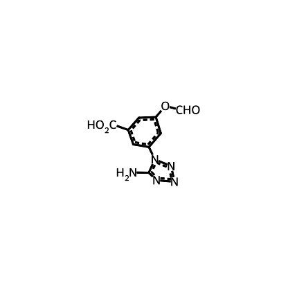 Nc1nnnn1-c1cc(OC=O)cc(C(=O)O)c1